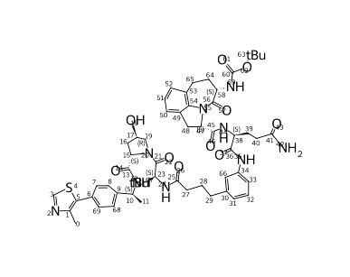 Cc1ncsc1-c1ccc([C@H](C)NC(=O)[C@@H]2C[C@@H](O)CN2C(=O)[C@@H](NC(=O)CCCc2cccc(NC(=O)[C@H](CCC(N)=O)NC(=O)[C@@H]3Cc4cccc5c4N3C(=O)[C@@H](NC(=O)OC(C)(C)C)CC5)c2)C(C)(C)C)cc1